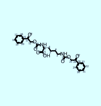 O=C(NCCCC[C@@H](NC(=O)OCC(=O)c1ccccc1)C(=O)O)OCC(=O)c1ccccc1